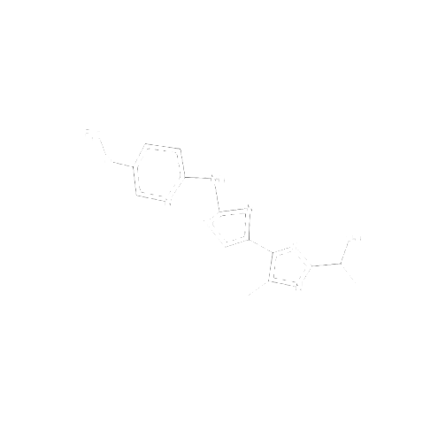 Cc1nc(C(C)O)sc1-c1csc(Nc2ccc(OC(F)(F)F)cn2)n1